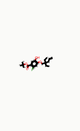 C=CCC(CC)(CC)COc1cc(F)c(C(=O)OC(C)(C)C)cc1O